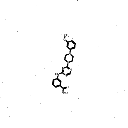 CNC(=O)c1cccc(Nc2ncnc(N3CCN(c4cccc(OC(F)(F)F)c4)CC3)n2)c1